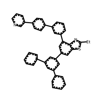 CCc1nc2c(-c3cccc(-c4ccc(-c5cccnc5)cc4)c3)cc(-c3cc(-c4ccccc4)cc(-c4ccccc4)c3)cc2s1